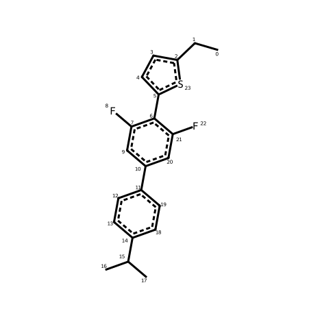 CCc1ccc(-c2c(F)cc(-c3ccc(C(C)C)cc3)cc2F)s1